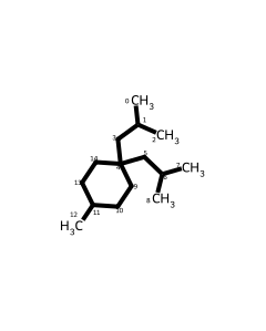 CC(C)CC1(CC(C)C)CCC(C)CC1